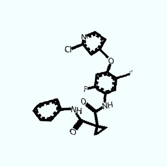 O=C(Nc1ccccc1)C1(C(=O)Nc2cc(F)c(Oc3ccnc(Cl)c3)cc2F)CC1